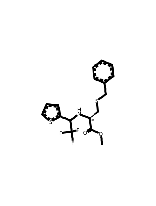 COC(=O)[C@H](CSCc1ccccc1)NC(c1cccs1)C(F)(F)F